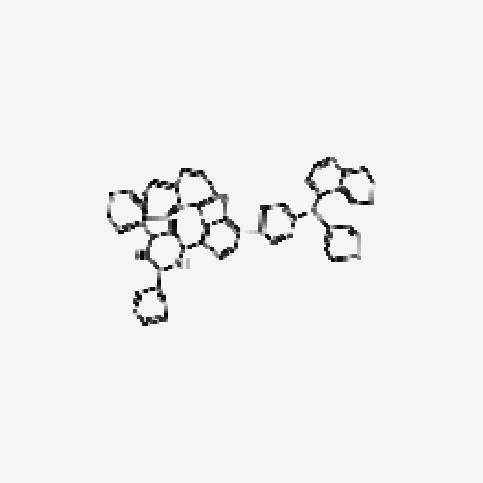 c1ccc(C2NC(c3ccccc3)NC(c3ccc(-c4ccc(N(c5ccccc5)c5cccc6ccccc56)cc4)c4oc5ccc6ccccc6c5c34)N2)cc1